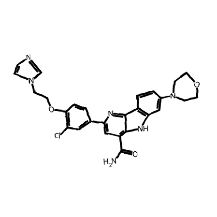 NC(=O)c1cc(-c2ccc(OCCn3ccnc3)c(Cl)c2)nc2c1[nH]c1cc(N3CCOCC3)ccc12